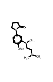 COc1ccc(N2CCCC2=O)cc1N(C)CCN(C)C